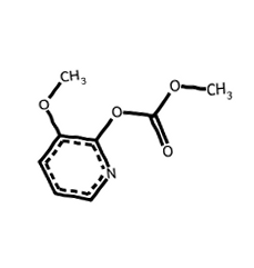 COC(=O)Oc1ncccc1OC